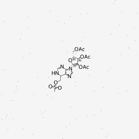 CC(=O)OC[C@H]1O[C@@H](n2cnc3c2N=CNC3COS(C)(=O)=O)[C@H](OC(C)=O)[C@@H]1OC(C)=O